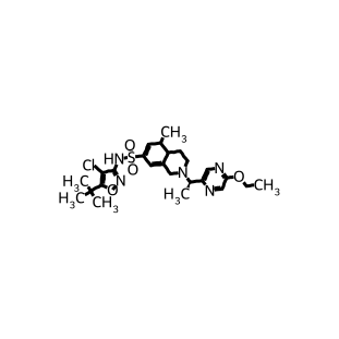 CCOc1cnc([C@@H](C)N2CCC3C(=CC(S(=O)(=O)Nc4noc(C(C)(C)C)c4Cl)=CC3C)C2)cn1